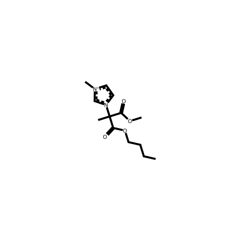 CCCCOC(=O)C(C)(C(=O)OC)n1cc[n+](C)c1